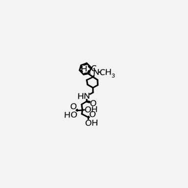 CN(C)C1(c2ccccc2)CCC(CNC(=O)CC(O)(CC(=O)O)C(=O)O)CC1